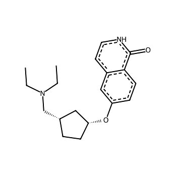 CCN(CC)C[C@H]1CC[C@@H](Oc2ccc3c(=O)[nH]ccc3c2)C1